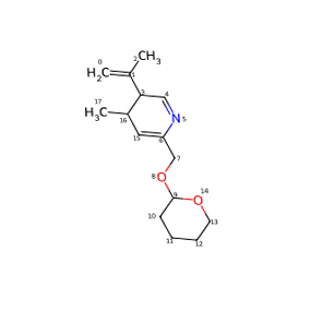 C=C(C)C1C=NC(COC2CCCCO2)=CC1C